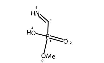 COP(=O)(O)C=N